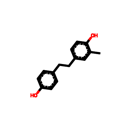 Cc1cc(CCc2ccc(O)cc2)ccc1O